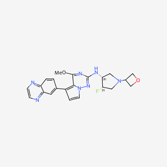 COc1nc(N[C@@H]2CN(C3COC3)C[C@@H]2F)nn2ccc(-c3ccc4nccnc4c3)c12